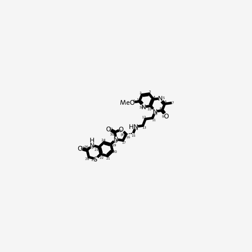 COc1ccc2nc(C)c(=O)n(CCCNC[C@@H]3CN(c4ccc5c(c4)NC(=O)CS5)C(=O)O3)c2n1